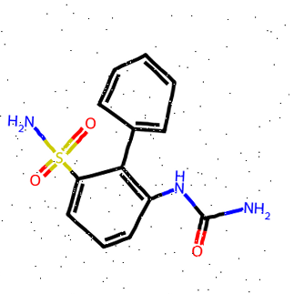 NC(=O)Nc1cccc(S(N)(=O)=O)c1-c1ccccc1